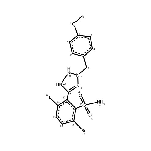 COc1ccc(CN2N=C(c3c(I)ccc(Br)c3S(N)(=O)=O)NN2)cc1